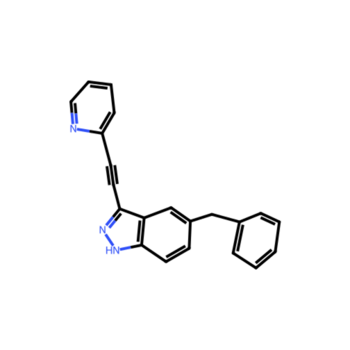 C(#Cc1n[nH]c2ccc(Cc3ccccc3)cc12)c1ccccn1